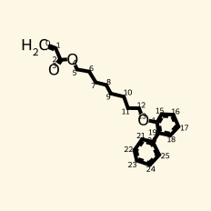 C=CC(=O)OCCCCCCCCOc1ccccc1-c1ccccc1